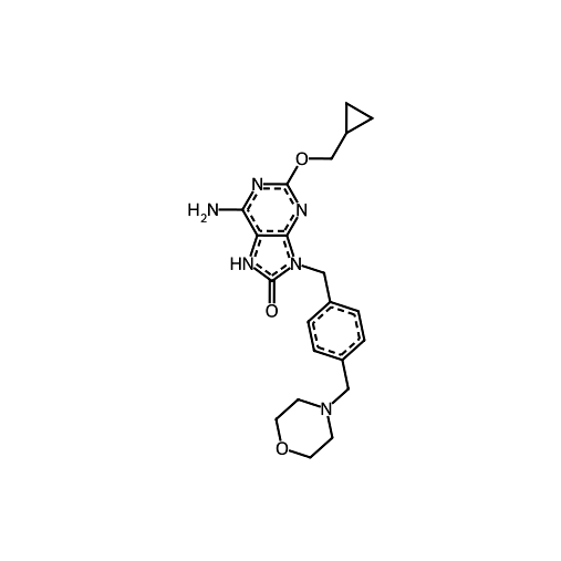 Nc1nc(OCC2CC2)nc2c1[nH]c(=O)n2Cc1ccc(CN2CCOCC2)cc1